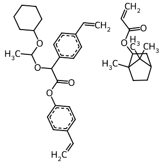 C=CC(=O)OC1CC2CCC1(C)C2(C)C.C=Cc1ccc(OC(=O)C(OC(C)OC2CCCCC2)c2ccc(C=C)cc2)cc1